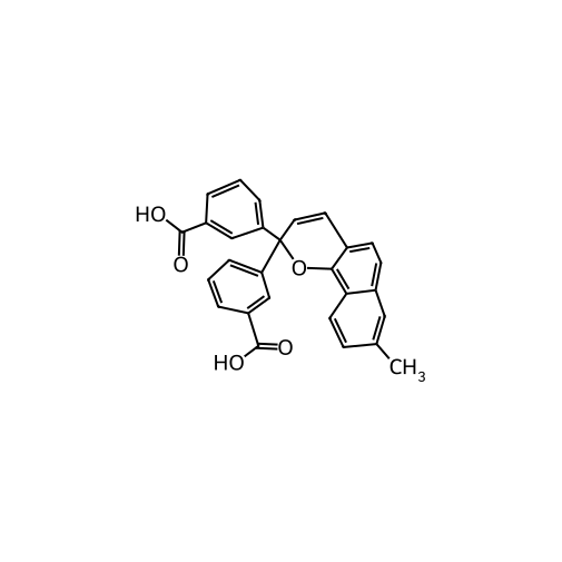 Cc1ccc2c3c(ccc2c1)C=CC(c1cccc(C(=O)O)c1)(c1cccc(C(=O)O)c1)O3